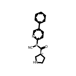 N#CN(C(=O)[C@H]1CCNC1)c1ccc(-c2ccccc2)cn1